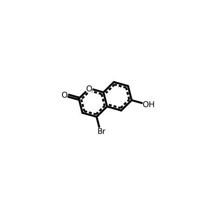 O=c1cc(Br)c2cc(O)ccc2o1